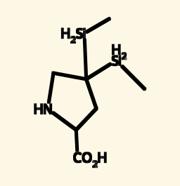 C[SiH2]C1([SiH2]C)CNC(C(=O)O)C1